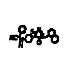 N#CC(NC1CCc2c(sc3ncn(Cc4cccc5ccccc45)c(=O)c23)C1)c1ccccc1